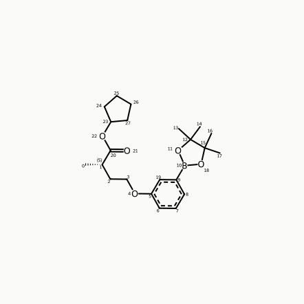 C[C@@H](CCOc1cccc(B2OC(C)(C)C(C)(C)O2)c1)C(=O)OC1CCCC1